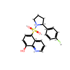 O=S(=O)(c1ccc(O)c2ncccc12)N1CCCC1c1ccc(F)cc1